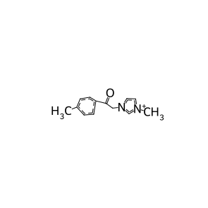 Cc1ccc(C(=O)Cn2cc[n+](C)c2)cc1